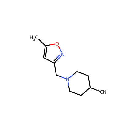 Cc1cc(CN2CCC(C#N)CC2)no1